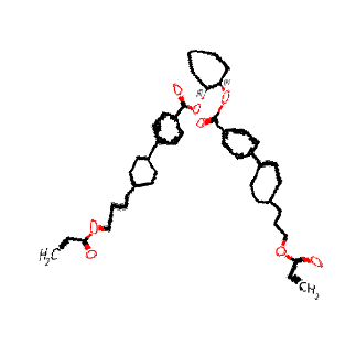 C=CC(=O)OCCCC1CCC(c2ccc(C(=O)O[C@@H]3CCCC[C@H]3OC(=O)c3ccc(C4CCC(CCCOC(=O)C=C)CC4)cc3)cc2)CC1